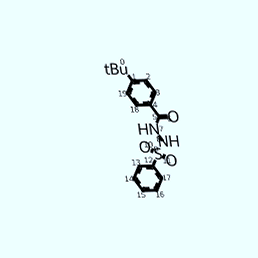 CC(C)(C)c1ccc(C(=O)NNS(=O)(=O)c2ccccc2)cc1